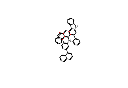 c1ccc(-c2ccc(-c3cccc4ccccc34)cc2N(c2ccccc2-c2ccc3c(c2)oc2ccccc23)c2cccc3sc4ccccc4c23)cc1